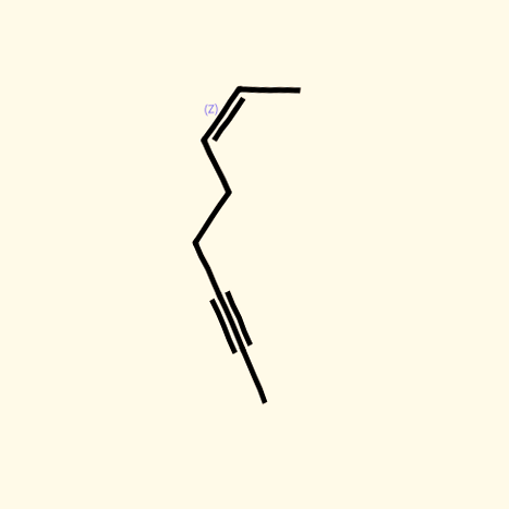 CC#CCC/C=C\C